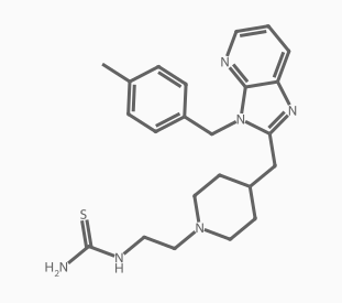 Cc1ccc(Cn2c(CC3CCN(CCNC(N)=S)CC3)nc3cccnc32)cc1